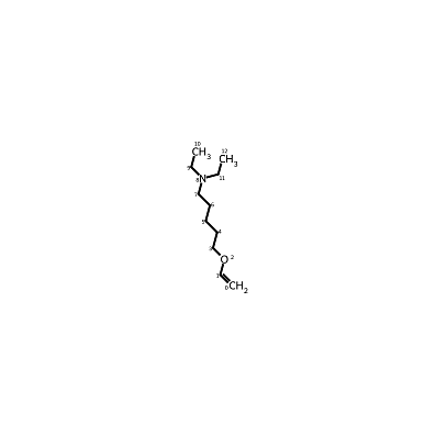 C=COCCCCCN(CC)CC